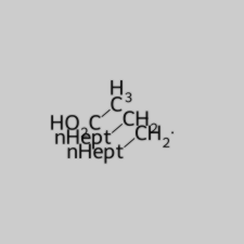 CC(=O)O.[CH2]CCCCCCC.[CH2]CCCCCCC